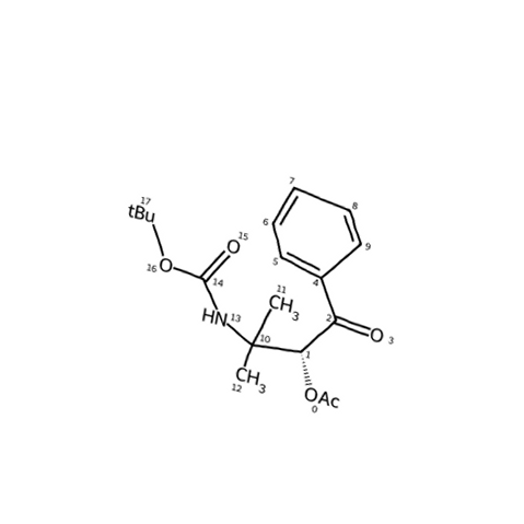 CC(=O)O[C@@H](C(=O)c1ccccc1)C(C)(C)NC(=O)OC(C)(C)C